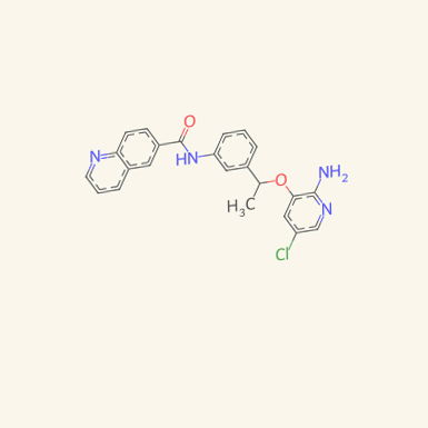 CC(Oc1cc(Cl)cnc1N)c1cccc(NC(=O)c2ccc3ncccc3c2)c1